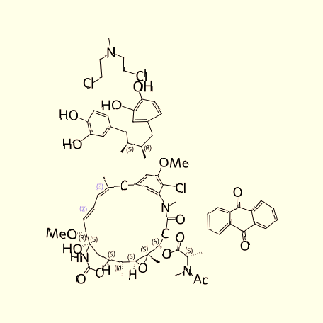 CN(CCCl)CCCl.COc1cc2cc(c1Cl)N(C)C(=O)C[C@H](OC(=O)[C@H](C)N(C)C(C)=O)[C@]1(C)O[C@H]1[C@H](C)[C@@H]1C[C@@](O)(NC(=O)O1)[C@H](OC)/C=C\C=C(\C)C2.C[C@H](Cc1ccc(O)c(O)c1)[C@@H](C)Cc1ccc(O)c(O)c1.O=C1c2ccccc2C(=O)c2ccccc21